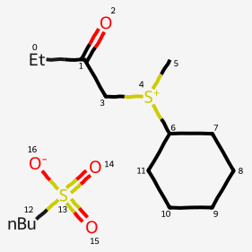 CCC(=O)C[S+](C)C1CCCCC1.CCCCS(=O)(=O)[O-]